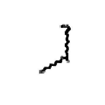 CCCCCCCCC=CCCCCCCCC(=O)OCCCCCCO